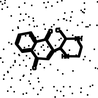 O=C1C=C(C2NCCNC2Cl)C(=O)c2ccccc21